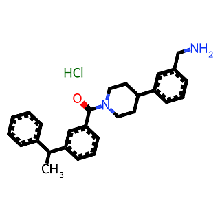 CC(c1ccccc1)c1cccc(C(=O)N2CCC(c3cccc(CN)c3)CC2)c1.Cl